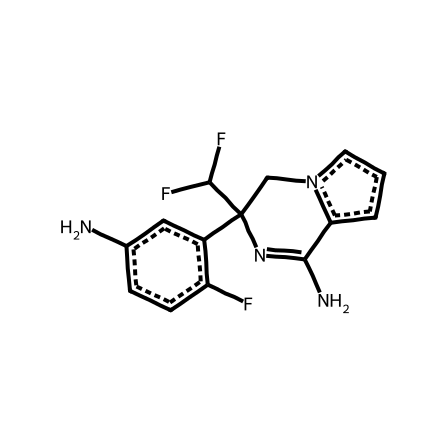 NC1=NC(c2cc(N)ccc2F)(C(F)F)Cn2cccc21